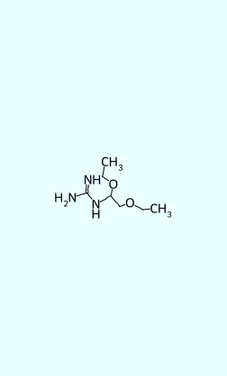 CCOCC(NC(=N)N)OCC